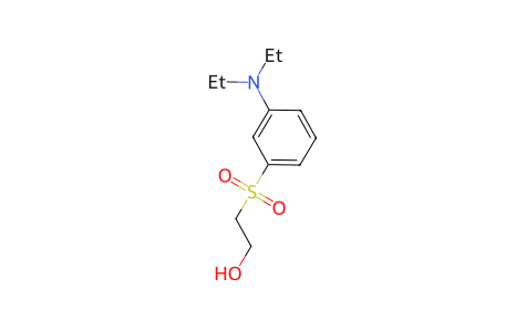 CCN(CC)c1cccc(S(=O)(=O)CCO)c1